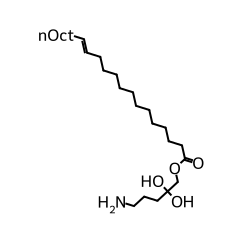 CCCCCCCCC=CCCCCCCCCCCCC(=O)OCC(O)(O)CCCN